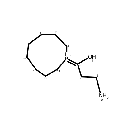 NCCC(O)=[PH]1CCCCCCCC1